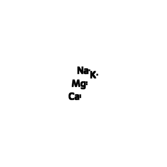 [Ca].[K].[Mg].[Na]